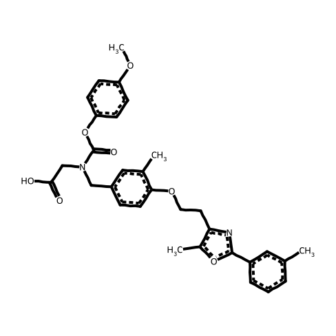 COc1ccc(OC(=O)N(CC(=O)O)Cc2ccc(OCCc3nc(-c4cccc(C)c4)oc3C)c(C)c2)cc1